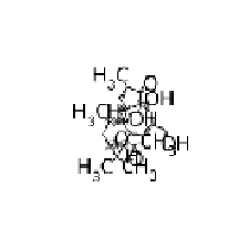 CC(=O)O[C@@]12C[C@@H](C)[C@@]3(O)C(C=C(CO)C[C@]4(O)C(=O)C(C)=C[C@@H]34)[C@H]1C2(C)C